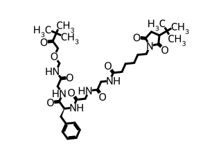 CC(C)(C)C(=O)COCNC(=O)CNC(=O)[C@H](Cc1ccccc1)NC(=O)CNC(=O)CNC(=O)CCCCCN1C(=O)CC(C(C)(C)C)C1=O